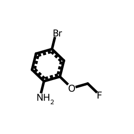 Nc1ccc(Br)cc1OCF